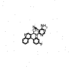 CC(Nc1ncnc(N)c1C#N)c1cnc2ccccc2c1-c1ccc(F)cc1